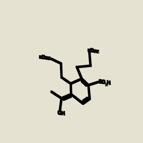 CCCCCCCCCCCCC1=C(S(=O)(=O)O)C=CC(=C(C)O)C1CCCCCCCCCCCC